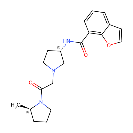 C[C@@H]1CCCN1C(=O)CN1CC[C@H](NC(=O)c2cccc3ccoc23)C1